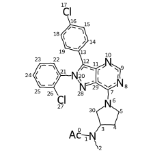 CC(=O)N(C)C1CCN(c2ncnc3c(-c4ccc(Cl)cc4)n(-c4ccccc4Cl)nc23)C1